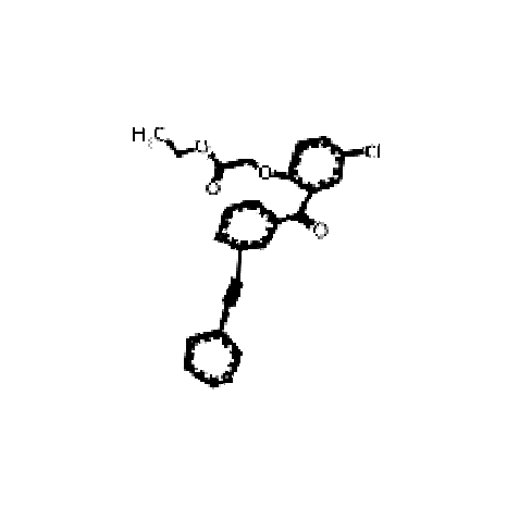 CCOC(=O)COc1ccc(Cl)cc1C(=O)c1cccc(C#Cc2ccccc2)c1